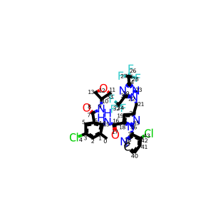 Cc1cc(Cl)cc(C(=O)NC2COC2)c1NC(=O)c1cc(Cn2nc(C(F)(F)F)nc2C(F)(F)F)nn1-c1ncccc1Cl